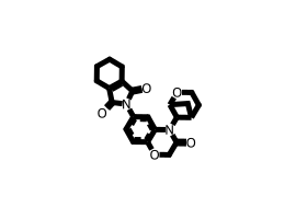 O=C1C2=C(CCCC2)C(=O)N1c1ccc2c(c1)N(C1C3CCOC1C3)C(=O)CO2